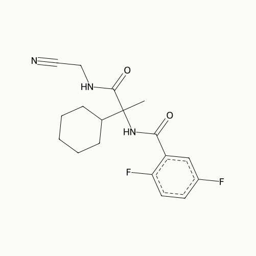 CC(NC(=O)c1cc(F)ccc1F)(C(=O)NCC#N)C1CCCCC1